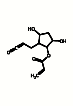 C=CC(=O)OC1C(O)CC(O)C1CC=C=O